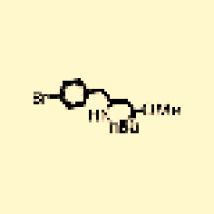 CCCCNC(=CC(=O)OC)Cc1ccc(Br)cc1